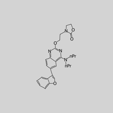 CCCN(CCC)c1nc(OCCN2CCOC2=O)nc2ccc(-c3coc4ccccc34)cc12